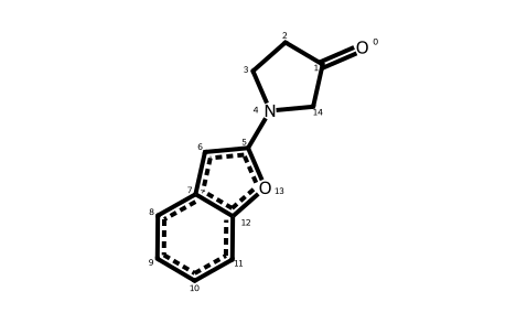 O=C1CCN(c2cc3ccccc3o2)C1